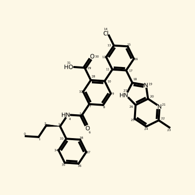 CCC[C@@H](NC(=O)c1ccc(-c2cc(Cl)ccc2-c2nc3nc(C)ccc3[nH]2)c(C(=O)O)c1)c1ccccc1